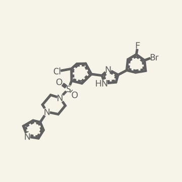 O=S(=O)(c1cc(-c2nc(-c3ccc(Br)c(F)c3)c[nH]2)ccc1Cl)N1CCN(c2ccncc2)CC1